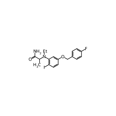 CCN(c1cc(OCc2ccc(F)cc2)ccc1I)C(C)C(N)=O